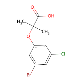 CC(C)(Oc1cc(Cl)cc(Br)c1)C(=O)O